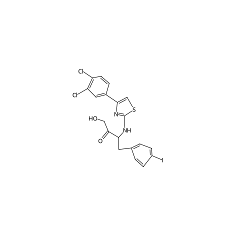 O=C(CO)C(Cc1ccc(I)cc1)Nc1nc(-c2ccc(Cl)c(Cl)c2)cs1